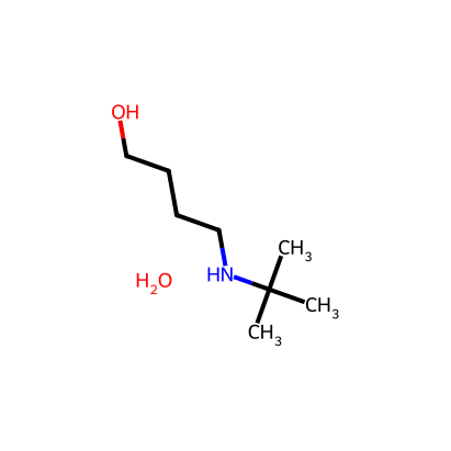 CC(C)(C)NCCCCO.O